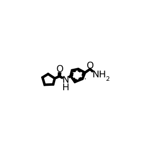 NC(=O)c1[c]cc(NC(=O)C2CCCC2)cc1